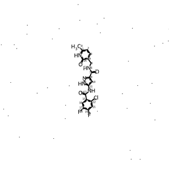 Cc1ccc(CNC(=O)c2cc(NC(=O)c3cc(F)c(F)cc3Cl)[nH]n2)c(=O)[nH]1